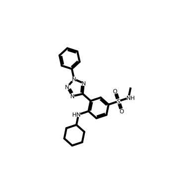 CNS(=O)(=O)c1ccc(NC2CCCCC2)c(-c2nnn(-c3ccccc3)n2)c1